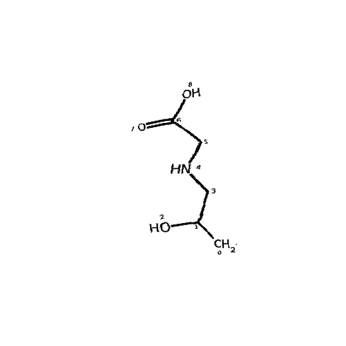 [CH2]C(O)CNCC(=O)O